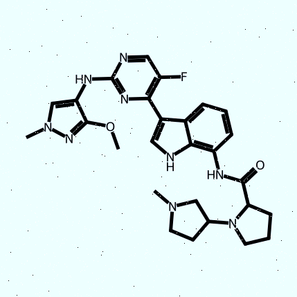 COc1nn(C)cc1Nc1ncc(F)c(-c2c[nH]c3c(NC(=O)C4CCCN4C4CCN(C)C4)cccc23)n1